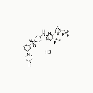 Cl.O=S(=O)(c1cccc(N2CCNCC2)c1)N1CCC(Nc2ncc(C(F)(F)F)c(-c3cnn(CC(F)(F)F)c3)n2)CC1